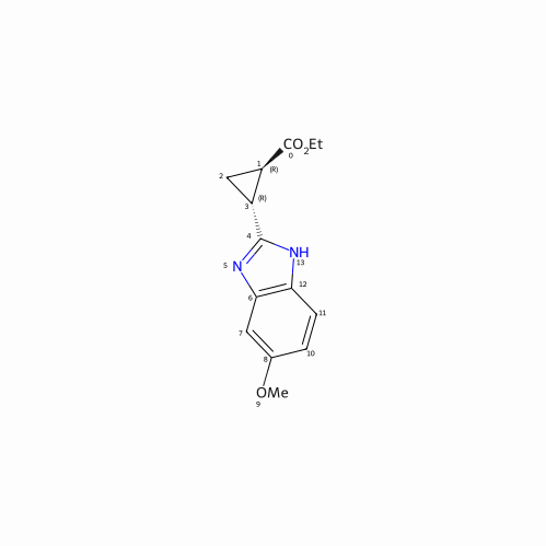 CCOC(=O)[C@@H]1C[C@H]1c1nc2cc(OC)ccc2[nH]1